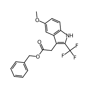 COc1ccc2[nH]c(C(F)(F)F)c(CC(=O)OCc3ccccc3)c2c1